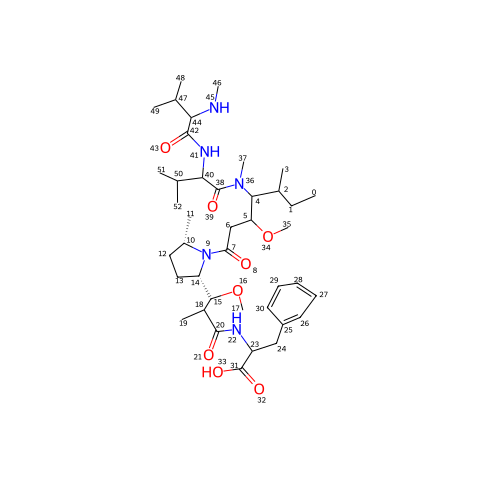 CCC(C)C(C(CC(=O)N1[C@@H](C)CC[C@H]1C(OC)C(C)C(=O)NC(Cc1ccccc1)C(=O)O)OC)N(C)C(=O)C(NC(=O)C(NC)C(C)C)C(C)C